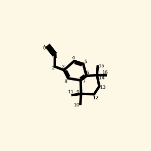 [C]#CCc1ccc2c(c1)C(C)(C)CCC2(C)C